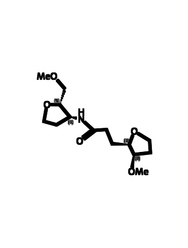 COC[C@H]1OCC[C@H]1NC(=O)CC[C@H]1OCC[C@H]1OC